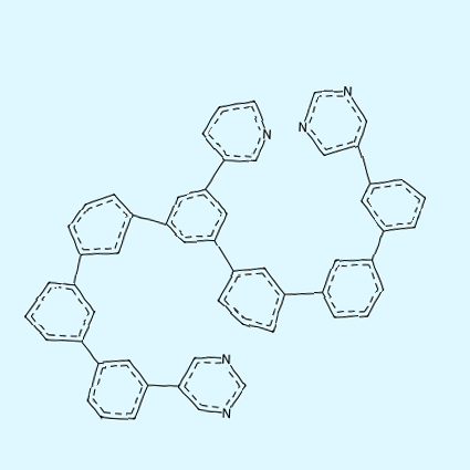 c1cncc(-c2cc(-c3cccc(-c4cccc(-c5cccc(-c6cncnc6)c5)c4)c3)cc(-c3cccc(-c4cccc(-c5cccc(-c6cncnc6)c5)c4)c3)c2)c1